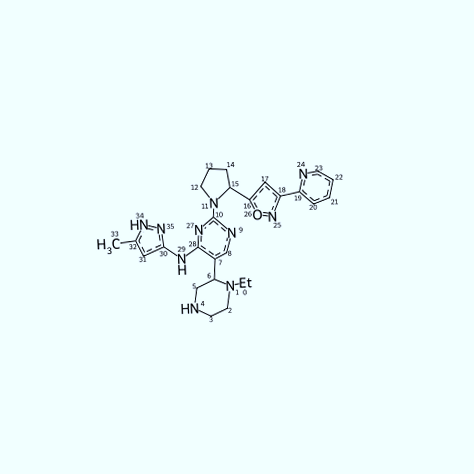 CCN1CCNCC1c1cnc(N2CCCC2c2cc(-c3ccccn3)no2)nc1Nc1cc(C)[nH]n1